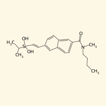 CCCCN(C)C(=O)c1ccc2cc(C=C[Si](O)(O)C(C)C)ccc2c1